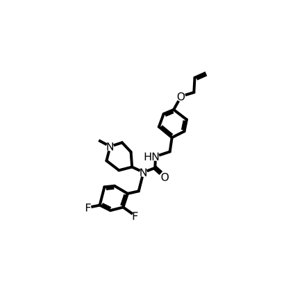 C=CCOc1ccc(CNC(=O)N(Cc2ccc(F)cc2F)C2CCN(C)CC2)cc1